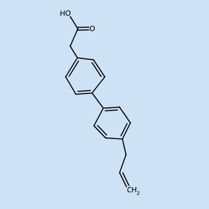 C=CCc1ccc(-c2ccc(CC(=O)O)cc2)cc1